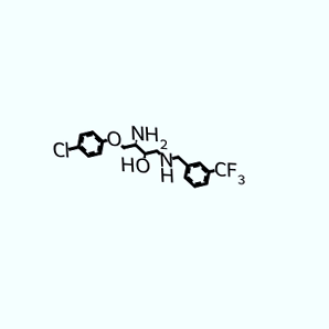 N[C@@H](COc1ccc(Cl)cc1)[C@H](O)CNCc1cccc(C(F)(F)F)c1